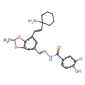 CC1Oc2cc(/C=N/NC(=O)c3ccc(O)c(Cl)c3)cc(/C=C/C3(N)CCCCC3)c2O1